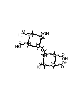 CC1=C(CCC(=O)O)c2cc3nc(cc4[nH]c(cc5[nH]c(cc1n2)c(C)c5C(C)O)c(C)c4C(C)OC(C)C1=C(C)c2cc4nc(cc5[nH]c(cc6[nH]c(cc1n2)c(C)c6C(C)O)c(C)c5CCC(=O)O)C(CCC(=O)O)=C4C)C(C)=C3CCC(=O)O